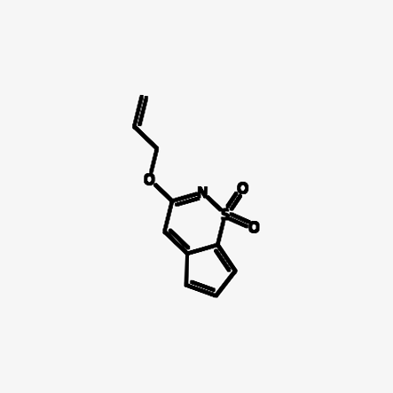 C=CCOC1=NS(=O)(=O)C2=CC=CC2=C1